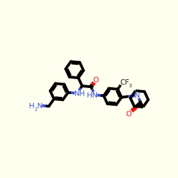 NCc1cccc(NC(C(=O)Nc2ccc(N3C(=O)C4CCC3CC4)c(C(F)(F)F)c2)c2ccccc2)c1